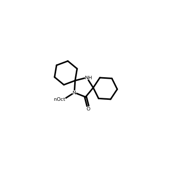 CCCCCCCCN1C(=O)C2(CCCCC2)NC12CCCCC2